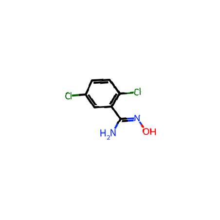 N/C(=N\O)c1cc(Cl)ccc1Cl